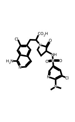 CN(C)c1ncc(S(=O)(=O)NC2CCN(C(Cc3cc4ccnc(N)c4cc3Cl)C(=O)O)C2=O)cc1Cl